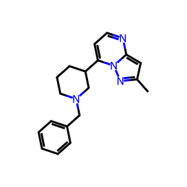 Cc1cc2nccc(C3CCCN(Cc4ccccc4)C3)n2n1